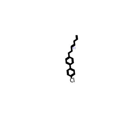 C=CC/C=C/CCc1ccc(-c2ccc(Cl)cc2)cc1